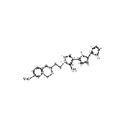 COc1ccc2c(c1)CCN(CCn1ncc(-c3nc(-c4ccco4)n[nH]3)c1N)C2